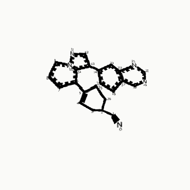 N#CC1CC=C(c2cccn3ncc(-c4ccc5cncnc5c4)c23)CC1